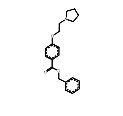 O=C(OCc1ccccc1)c1ccc(OCCN2CCCC2)cc1